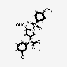 Cc1ccc(S(=O)(=O)N2CC(N(C(N)=O)c3cccc(Cl)c3)C[C@H]2C=O)cc1